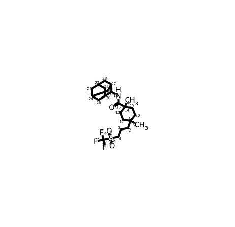 CC1(CCCS(=O)(=O)C(F)(F)F)CCC(C)(C(=O)NC2C3CC4CC(C3)CC2C4)CC1